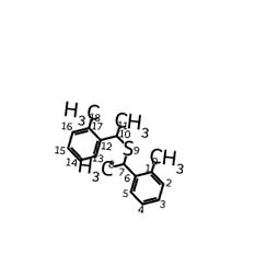 Cc1ccccc1C(C)SC(C)c1ccccc1C